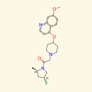 COc1ccc2c(OC3CCN(CC(=O)N4C[C@@H](F)C[C@H]4C)CC3)ccnc2c1